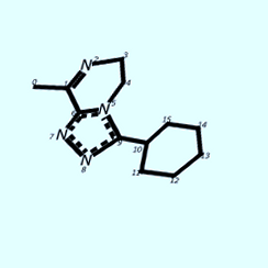 CC1=NCCn2c1nnc2C1CCCCC1